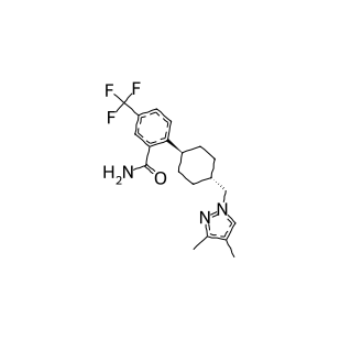 Cc1cn(C[C@H]2CC[C@H](c3ccc(C(F)(F)F)cc3C(N)=O)CC2)nc1C